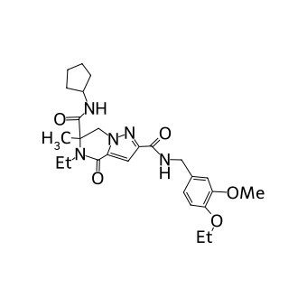 CCOc1ccc(CNC(=O)c2cc3n(n2)CC(C)(C(=O)NC2CCCC2)N(CC)C3=O)cc1OC